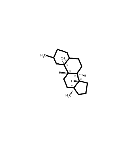 CC1CCC2CC[C@H]3[C@@H]4CCC[C@@]4(C)CC[C@@H]3[C@@]2(C)C1